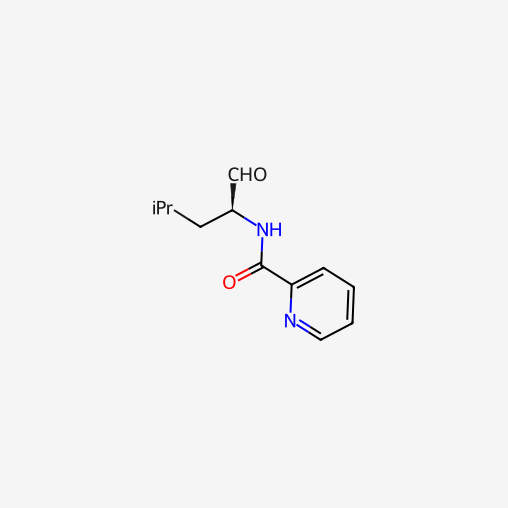 CC(C)C[C@@H](C=O)NC(=O)c1ccccn1